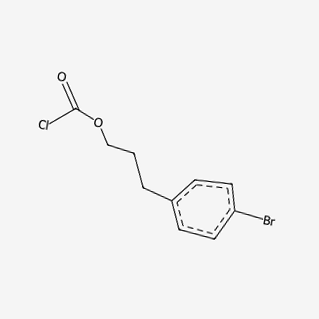 O=C(Cl)OCCCc1ccc(Br)cc1